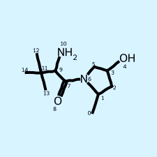 CC1CC(O)CN1C(=O)C(N)C(C)(C)C